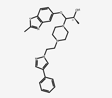 Cc1nc2cc(OC([C@H](C)O)N3CCN(CCn4cc(-c5ccccc5)cn4)CC3)ccc2s1